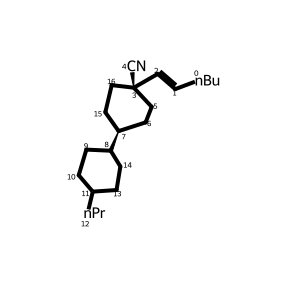 CCCCC=C[C@]1(C#N)CC[C@@H](C2CCC(CCC)CC2)CC1